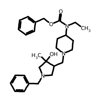 CCN(C(=O)OCc1ccccc1)C1CCN(CC2CN(Cc3ccccc3)CC2(C)O)CC1